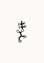 CC(F)(F)C(F)(F)OC(=O)C(Br)CBr